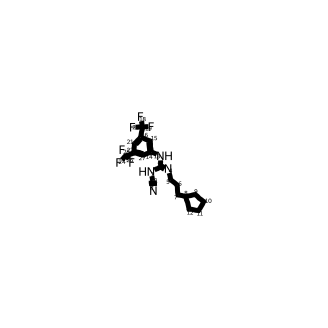 N#CN/C(=N\CCCC1CCCC1)Nc1cc(C(F)(F)F)cc(C(F)(F)F)c1